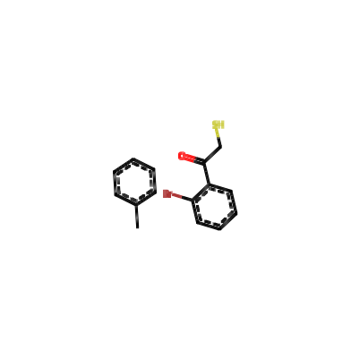 Cc1ccccc1.O=C(CS)c1ccccc1Br